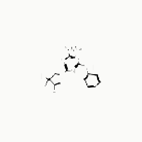 CNc1nc(Nc2ccccc2)nc(OCC(C)(F)C(F)F)n1